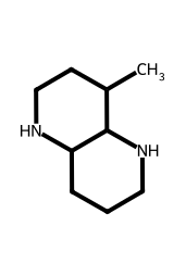 CC1CCNC2CCCNC12